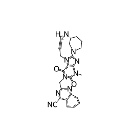 CC#CCn1c(N2CCC[C@@H](N)C2)nc2c1c(=O)n(Cc1nc(C#N)c3ccccc3n1)c(=O)n2C